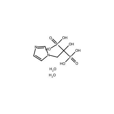 O.O.O=P(O)(O)C(O)(Cn1ccnc1)P(=O)(O)O